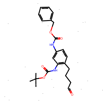 CC(C)(C)OC(=O)Nc1cc(NC(=O)OCc2ccccc2)ccc1CCCC=O